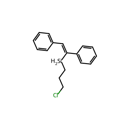 ClCCC[SiH2]C(=Cc1ccccc1)c1ccccc1